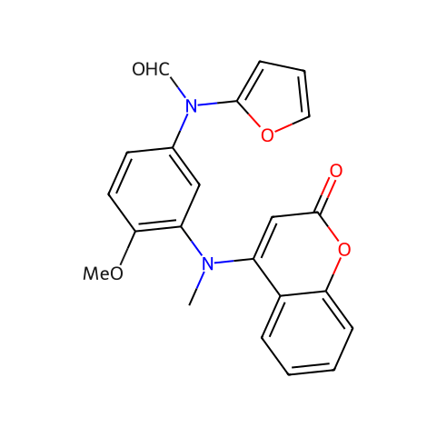 COc1ccc(N(C=O)c2ccco2)cc1N(C)c1cc(=O)oc2ccccc12